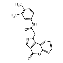 Cc1ccc(NC(=O)Cn2ncc3c(=O)oc4ccccc4c32)cc1C